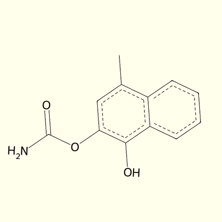 Cc1cc(OC(N)=O)c(O)c2ccccc12